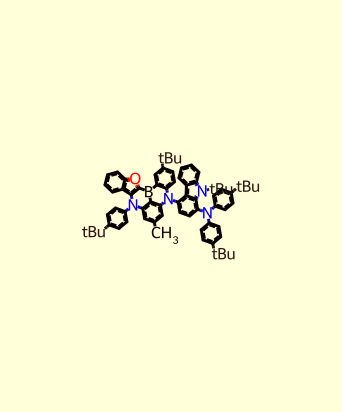 Cc1cc2c3c(c1)N(c1ccc(N(c4ccc(C(C)(C)C)cc4)c4ccc(C(C)(C)C)cc4)c4c1c1ccccc1n4C(C)(C)C)c1ccc(C(C)(C)C)cc1B3c1oc3ccccc3c1N2c1ccc(C(C)(C)C)cc1